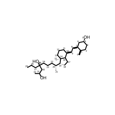 C=C1CC[C@H](O)C/C1=C/C=C1CCC[C@@]2(C)C1CC[C@@H]2[C@H](C)CCCC(O)(CCC)CC(C)O